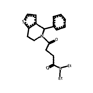 CCN(CC)C(=O)CCC(=O)N1CCc2sccc2C1c1ccccc1